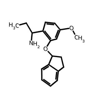 CCC(N)c1ccc(OC)cc1OC1CCc2ccccc21